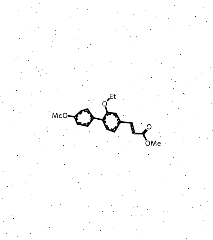 CCOc1cc(/C=C/C(=O)OC)ccc1-c1ccc(OC)cc1